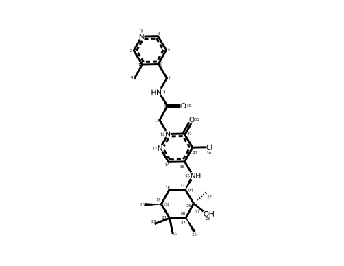 Cc1cnccc1CNC(=O)Cn1ncc(N[C@@H]2C[C@H](C)C(C)(C)[C@H](C)[C@]2(C)O)c(Cl)c1=O